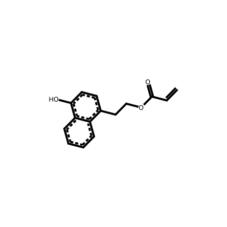 C=CC(=O)OCCc1ccc(O)c2ccccc12